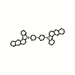 c1ccc2cc3c(ccc4c3c3ccccc3n4-c3ccc(-c4ccc(-n5c6ccccc6c6c7cc8ccccc8cc7ccc65)cc4)cc3)cc2c1